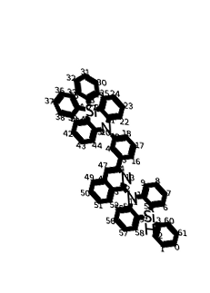 c1ccc([SiH]2c3ccccc3N(c3nc(-c4cccc(N5c6ccccc6[Si](c6ccccc6)(c6ccccc6)c6ccccc65)c4)cc4ccccc34)c3ccccc32)cc1